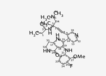 C=CC(=O)N[C@](C)(C#Cc1cnccc1-c1[nH]c2c(c1Nc1cccc(F)c1OC)C(=O)NCC2)CN(C)C